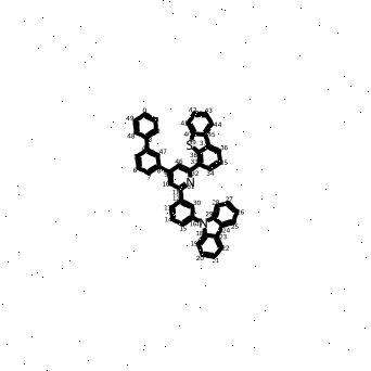 c1ccc(-c2cccc(-c3cc(-c4cccc(-n5c6ccccc6c6ccccc65)c4)nc(-c4cccc5c4sc4ccccc45)c3)c2)cc1